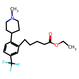 CCOC(=O)CCCCc1cc(C(F)(F)F)ccc1C1CCN(C)CC1